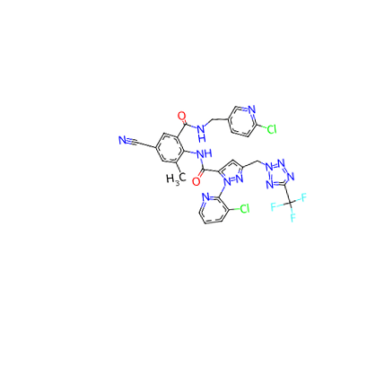 Cc1cc(C#N)cc(C(=O)NCc2ccc(Cl)nc2)c1NC(=O)c1cc(Cn2nnc(C(F)(F)F)n2)nn1-c1ncccc1Cl